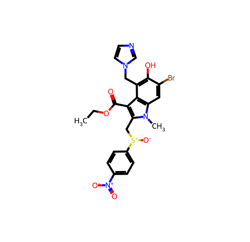 CCOC(=O)c1c(C[S+]([O-])c2ccc([N+](=O)[O-])cc2)n(C)c2cc(Br)c(O)c(Cn3ccnc3)c12